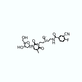 Cc1cn([C@H]2C[C@H](O)[C@@H](CO)O2)c(=O)n(CC[S+]([O-])CCNC(=O)c2ccc(F)c(C#N)c2)c1=O